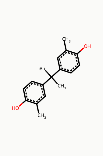 CCC(C)C(C)(c1ccc(O)c(C)c1)c1ccc(O)c(C)c1